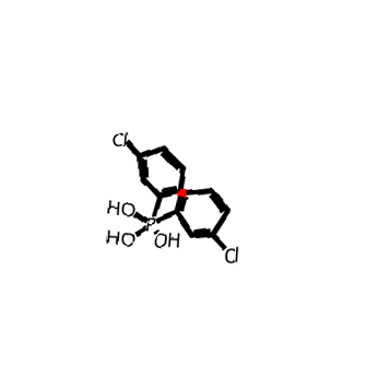 OP(O)(O)(c1cccc(Cl)c1)c1cccc(Cl)c1